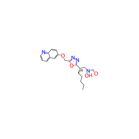 CCCCC[C@H](CN(O)C=O)c1nnc(COc2ccc3ncccc3c2)o1